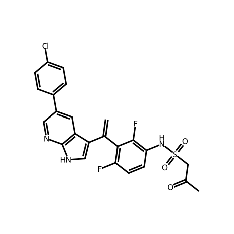 C=C(c1c(F)ccc(NS(=O)(=O)CC(C)=O)c1F)c1c[nH]c2ncc(-c3ccc(Cl)cc3)cc12